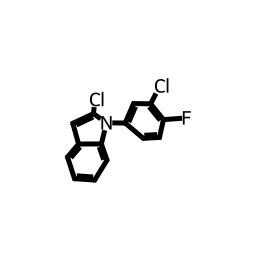 Fc1ccc(-n2c(Cl)cc3ccccc32)cc1Cl